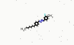 CCCCCCCc1ccc(/C=N/N=C/c2ccc(C)c(F)c2)cc1